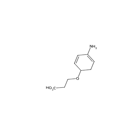 NC1=CCC(OCCC(=O)O)C=C1